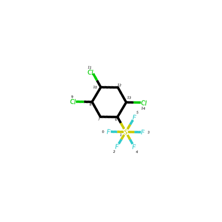 FS(F)(F)(F)(F)C1CC(Cl)C(Cl)CC1Cl